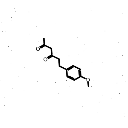 COc1ccc(CCC(=O)CC(C)=O)cc1